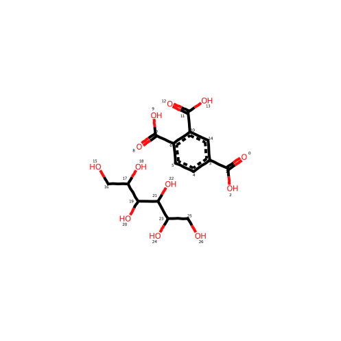 O=C(O)c1ccc(C(=O)O)c(C(=O)O)c1.OCC(O)C(O)C(O)C(O)CO